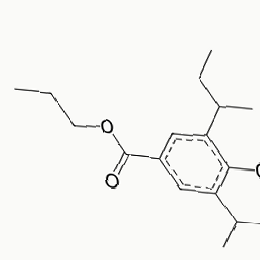 CCCOC(=O)c1cc(C(C)CC)c(O)c(C(C)CC)c1